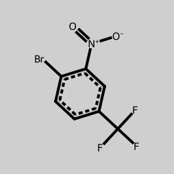 O=[N+]([O-])c1cc(C(F)(F)F)ccc1Br